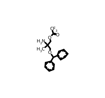 CC(N)(COC(=O)C(F)(F)F)COC(c1ccccc1)c1ccccc1